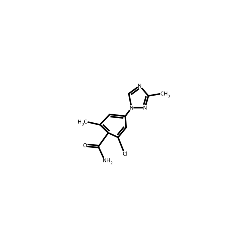 Cc1ncn(-c2cc(C)c(C(N)=O)c(Cl)c2)n1